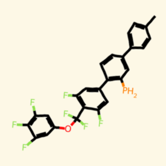 Cc1ccc(-c2ccc(-c3cc(F)c(C(F)(F)Oc4cc(F)c(F)c(F)c4)c(F)c3)c(P)c2)cc1